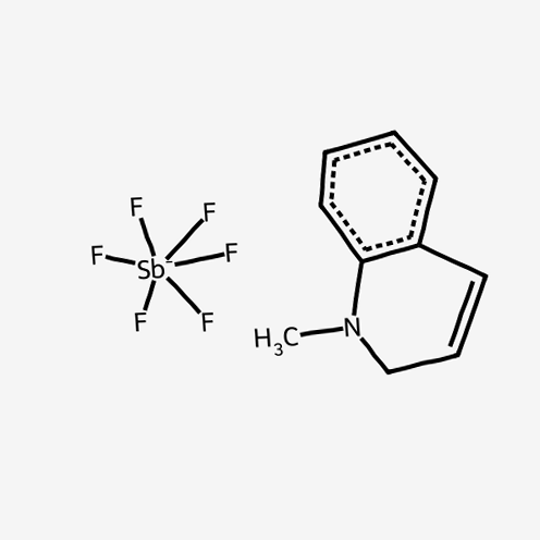 CN1CC=Cc2ccccc21.[F][Sb-]([F])([F])([F])([F])[F]